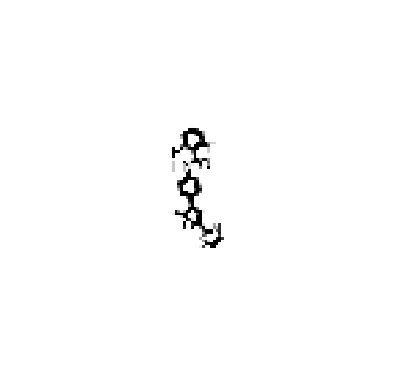 CC1OC(c2nccs2)=CC1c1ccc(NC(=O)c2c(F)cccc2F)cc1